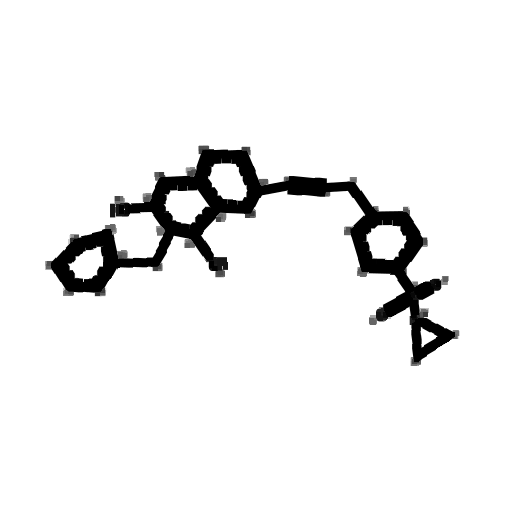 O=S(=O)(c1ccc(CC#Cc2ccc3cc(O)c(Cc4ccccc4)c(O)c3c2)cc1)N1CC1